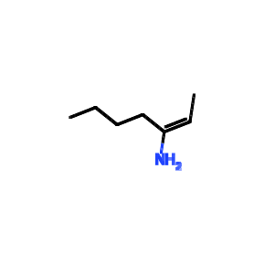 C/C=C(/N)CCCC